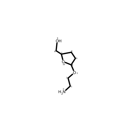 NCCOC1CCC(CO)O1